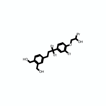 CCc1cc(C(CC)(CC)CCc2ccc(CO)c(CO)c2)ccc1OCC(O)C(C)C